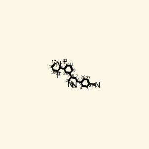 N#Cc1ccc(-c2cc(-c3ccc(F)c(-c4ncccc4F)c3)cnn2)cc1